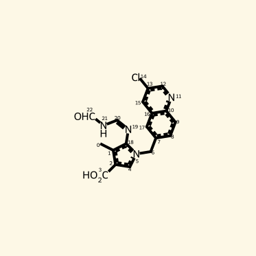 Cc1c(C(=O)O)cn(Cc2ccc3ncc(Cl)cc3c2)c1/N=C\NC=O